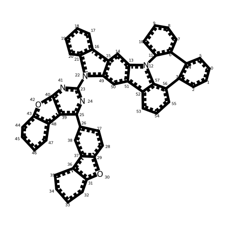 c1ccc2c(c1)-c1ccccc1-n1c3cc4c5ccccc5n(-c5nc(-c6ccc7oc8ccccc8c7c6)c6c(n5)oc5ccccc56)c4cc3c3cccc-2c31